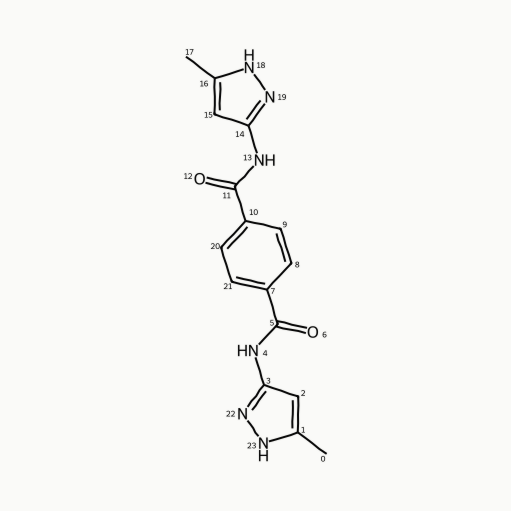 Cc1cc(NC(=O)c2ccc(C(=O)Nc3cc(C)[nH]n3)cc2)n[nH]1